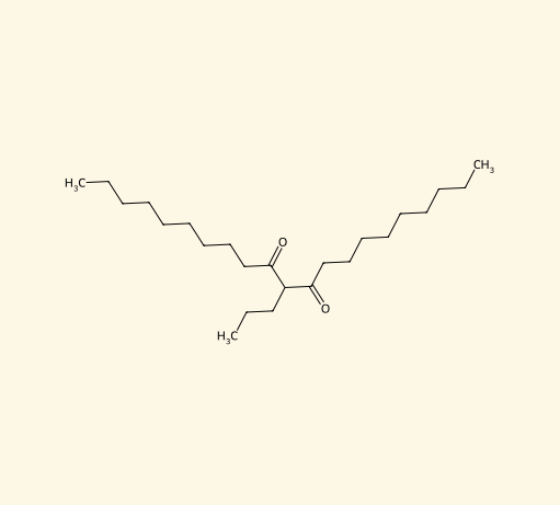 CCCCCCCCCC(=O)C(CCC)C(=O)CCCCCCCCC